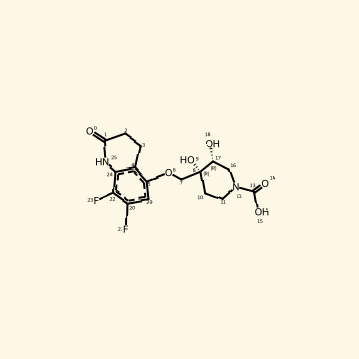 O=C1CCc2c(OC[C@]3(O)CCN(C(=O)O)C[C@H]3O)cc(F)c(F)c2N1